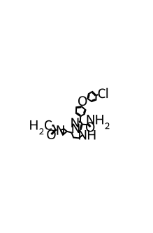 C=CC(=O)N1CC(C2CCNc3c(C(N)=O)c(-c4ccc(Oc5ccc(Cl)cc5)cc4)nn32)C1